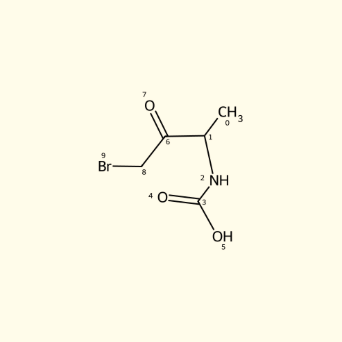 CC(NC(=O)O)C(=O)CBr